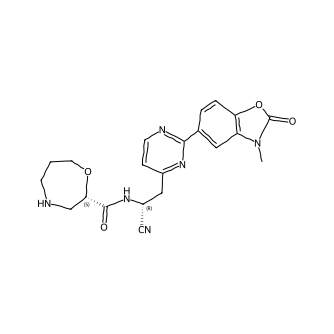 Cn1c(=O)oc2ccc(-c3nccc(C[C@H](C#N)NC(=O)[C@@H]4CNCCCO4)n3)cc21